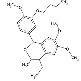 CCCCOc1cc(C2OC(C)C(CC)c3cc(OC)c(OC)cc32)ccc1OC